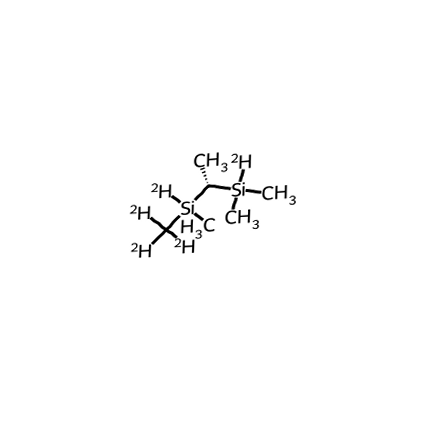 [2H]C([2H])([2H])[Si]([2H])(C)[C@H](C)[Si]([2H])(C)C